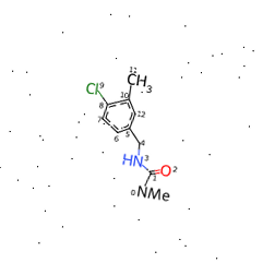 CNC(=O)NCc1ccc(Cl)c(C)c1